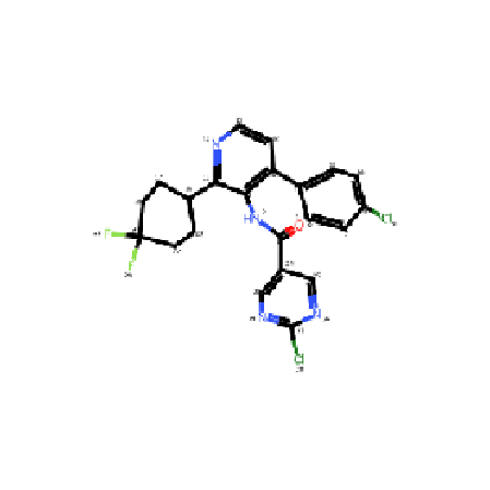 O=C(Nc1c(-c2ccc(Cl)cc2)ccnc1C1CCC(F)(F)CC1)c1cnc(Cl)nc1